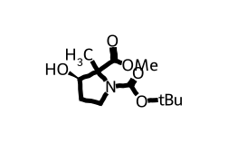 COC(=O)C1(C)[C@H](O)CCN1C(=O)OC(C)(C)C